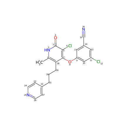 Cc1[nH]c(=O)c(Cl)c(Oc2cc(Cl)cc(C#N)c2)c1CCCc1ccncc1